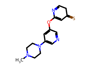 CN1CCN(c2cncc(OC3=CC(=S)CC=N3)c2)CC1